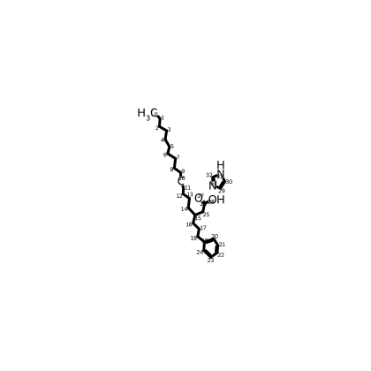 CCCCCCCCCCCCCCCC(CCCc1ccccc1)CC(=O)O.c1c[nH]cn1